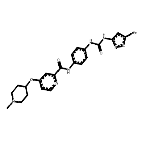 CN1CCC(Oc2ccnc(C(=O)Nc3ccc(NC(=O)Nc4cc(C(C)(C)C)on4)cc3)c2)CC1